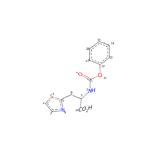 O=C(NC(Cc1nccs1)C(=O)O)Oc1ccccc1